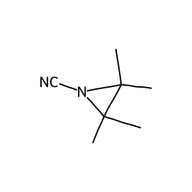 CC1(C)N(C#N)C1(C)C